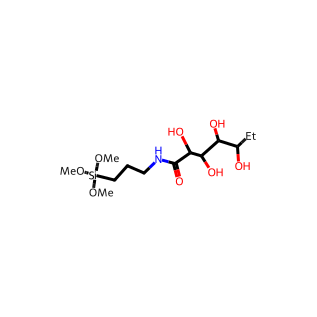 CCC(O)C(O)C(O)C(O)C(=O)NCCC[Si](OC)(OC)OC